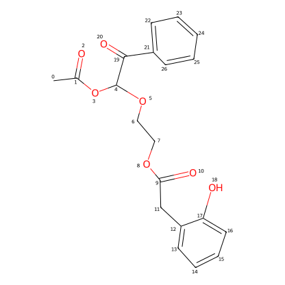 CC(=O)OC(OCCOC(=O)Cc1ccccc1O)C(=O)c1ccccc1